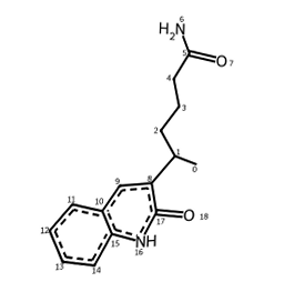 CC(CCCC(N)=O)c1cc2ccccc2[nH]c1=O